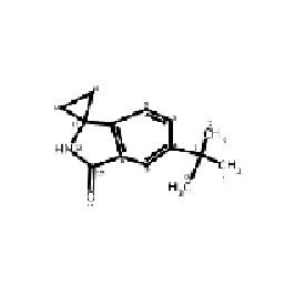 CC(C)(C)c1ccc2c(c1)C(=O)NC21CC1